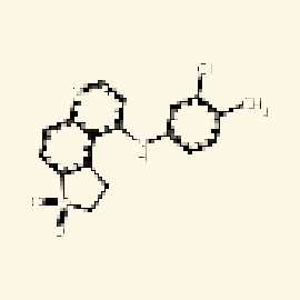 Cc1ccc(Nc2ccnc3ccc4c(c23)CCS4(=O)=O)cc1O